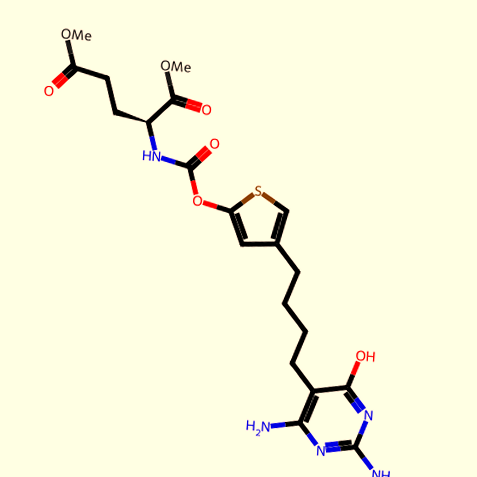 COC(=O)CC[C@H](NC(=O)Oc1cc(CCCCc2c(N)nc(N)nc2O)cs1)C(=O)OC